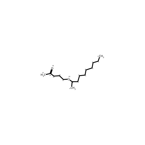 CCCCCCCCC(C)OCCCC(C)=O